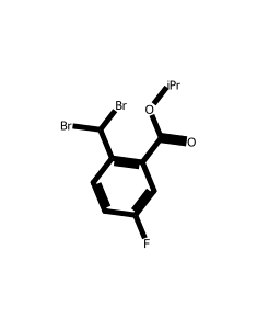 CC(C)OC(=O)c1cc(F)ccc1C(Br)Br